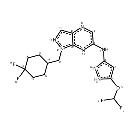 FC(F)Oc1cc(Nc2cnc3cnn(CC4CCC(F)(F)CC4)c3n2)n[nH]1